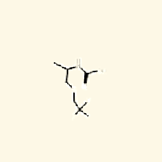 CC(CSCC(C)(F)F)NC(=O)O